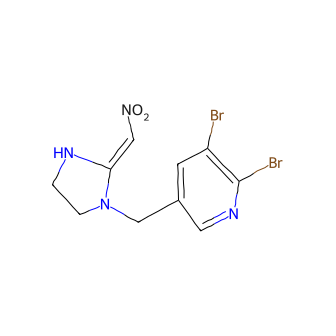 O=[N+]([O-])C=C1NCCN1Cc1cnc(Br)c(Br)c1